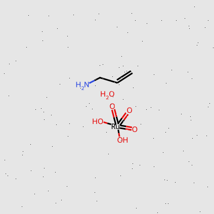 C=CCN.O.[O]=[Ru](=[O])(=[O])([OH])[OH]